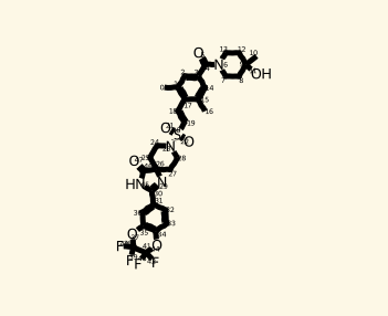 Cc1cc(C(=O)N2CCC(C)(O)CC2)cc(C)c1C=CS(=O)(=O)N1CCC2(CC1)N=C(c1ccc3c(c1)OC(F)(F)C(F)(F)O3)NC2=O